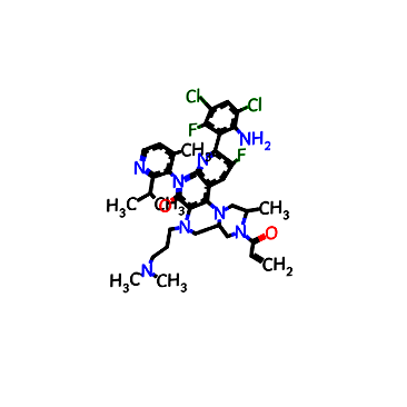 C=CC(=O)N1CC2CN(CCCN(C)C)c3c(c4cc(F)c(-c5c(N)c(Cl)cc(Cl)c5F)nc4n(-c4c(C)ccnc4C(C)C)c3=O)N2CC1C